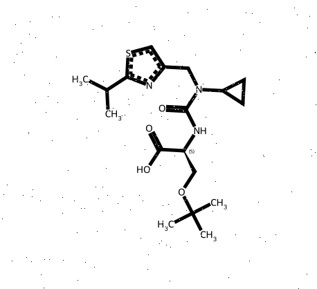 CC(C)c1nc(CN(C(=O)N[C@@H](COC(C)(C)C)C(=O)O)C2CC2)cs1